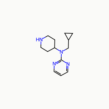 c1cnc(N(CC2CC2)C2CCNCC2)nc1